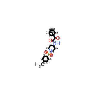 Cc1ccc(S(=O)(=O)N2CCC(NC(=O)C(=O)C34CC=C=C(C3)C4)CC2)cc1